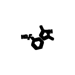 Cc1ccc(C)[nH]1.O=C(O)c1ccccc1